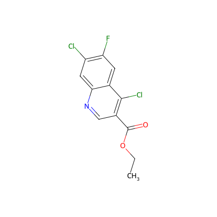 CCOC(=O)c1cnc2cc(Cl)c(F)cc2c1Cl